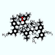 CCCc1cc(-c2ccc(C(F)(F)F)cc2CN(C(=O)OC(C)(C)C)[C@@H](C)[C@H](OC(=O)O[C@H](c2cc(C(F)(F)F)cc(C(F)(F)F)c2)[C@H](C)N(Cc2cc(C(F)(F)F)ccc2-c2cc(CCC)c(F)cc2OC)C(=O)OC(C)(C)C)c2cc(C(F)(F)F)cc(C(F)(F)F)c2)c(OC)cc1F